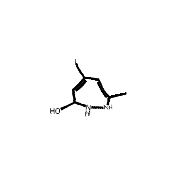 CC1=CC(I)=CC(O)NN1